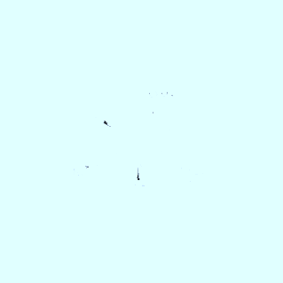 CO[C@@H]1O[C@H](C(=O)[O-])[C@@H](O)[C@H](O)[C@H]1O.[Na+]